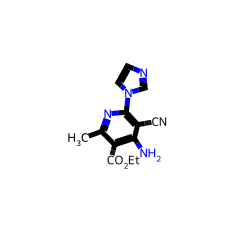 CCOC(=O)c1c(C)nc(-n2ccnc2)c(C#N)c1N